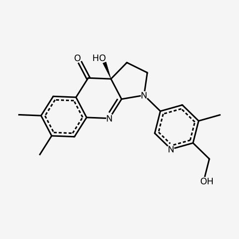 Cc1cc2c(cc1C)C(=O)[C@]1(O)CCN(c3cnc(CO)c(C)c3)C1=N2